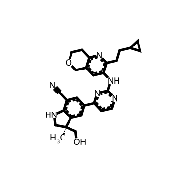 C[C@]1(CO)CNc2c(C#N)cc(-c3ccnc(Nc4cc5c(nc4CCC4CC4)CCOC5)n3)cc21